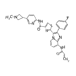 C=CC(=O)Nc1cccn2c(-c3nc(C(=O)Nc4ccc(C5CN(C)C5)cn4)cs3)c(-c3ccc(F)cc3)nc12